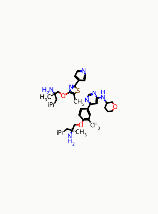 CC(C)C[C@](C)(N)COc1ccc(-c2cc(NC3CCCOC3)ncn2)cc1C(F)(F)F.Cc1sc(-c2ccncc2)nc1OC[C@@](C)(N)CC(C)C